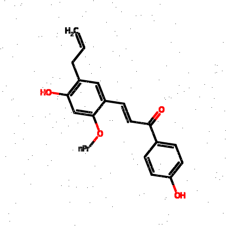 C=CCc1cc(C=CC(=O)c2ccc(O)cc2)c(OCCC)cc1O